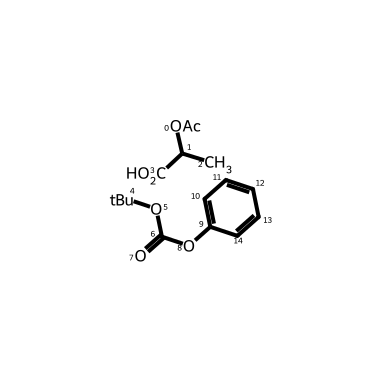 CC(=O)OC(C)C(=O)O.CC(C)(C)OC(=O)Oc1ccccc1